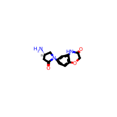 N[C@H]1CC(=O)N(c2ccc3c(c2)NC(=O)CO3)C1